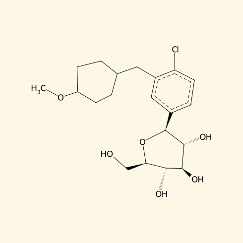 COC1CCC(Cc2cc([C@@H]3O[C@H](CO)[C@@H](O)[C@H](O)[C@H]3O)ccc2Cl)CC1